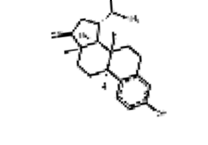 CCCC(N)[C@H]1CC(=O)[C@@]2(C)CC[C@@H]3c4ccc(O)cc4CC[C@H]3[C@H]12